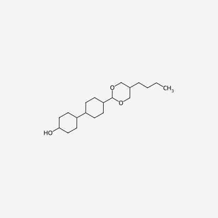 CCCCC1COC(C2CCC(C3CCC(O)CC3)CC2)OC1